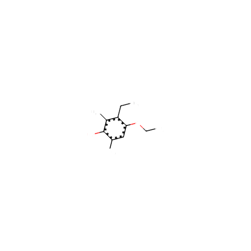 CCOc1cc(C)c(O)c(C)c1CC